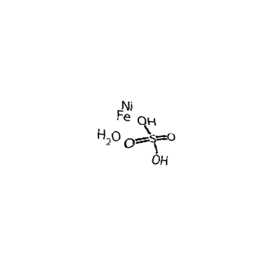 O.O=S(=O)(O)O.[Fe].[Ni]